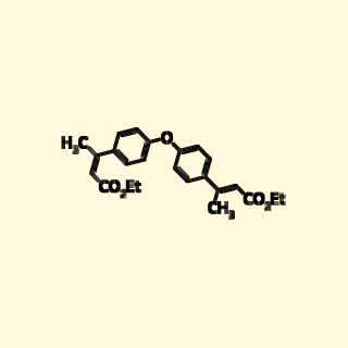 CCOC(=O)/C=C(/C)c1ccc(Oc2ccc(/C(C)=C/C(=O)OCC)cc2)cc1